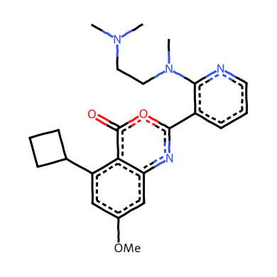 COc1cc(C2CCC2)c2c(=O)oc(-c3cccnc3N(C)CCN(C)C)nc2c1